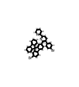 Brc1ccc(-c2ccc(-c3ccccn3)nc2-c2ccc3c(c2)C2(c4ccccc4-c4ccccc42)c2cc(Br)ccc2-3)cc1